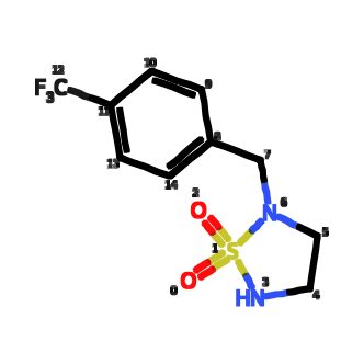 O=S1(=O)NCCN1Cc1ccc(C(F)(F)F)cc1